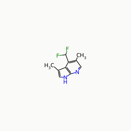 Cc1cnc2[nH]cc(C)c2c1C(F)F